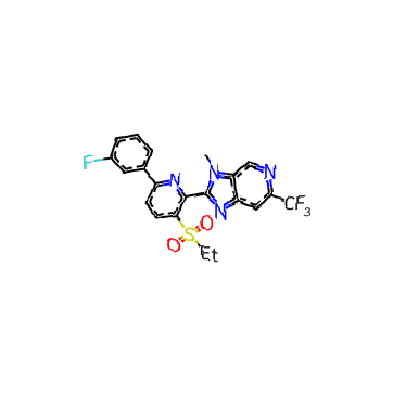 CCS(=O)(=O)c1ccc(-c2cccc(F)c2)nc1-c1nc2cc(C(F)(F)F)ncc2n1C